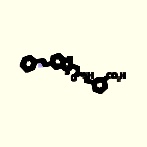 O=C(Cc1nc2ccc(/C=C/c3ccccc3)cc2s1)NCc1cccc(C(=O)O)c1